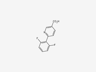 O=C(O)c1ccc(-c2c(F)cccc2F)nc1